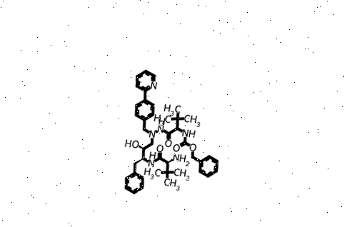 CC(C)(C)C(NC(=O)OCc1ccccc1)C(=O)NN(Cc1ccc(-c2ccccn2)cc1)C[C@H](O)[C@H](Cc1ccccc1)NC(=O)[C@@H](N)C(C)(C)C